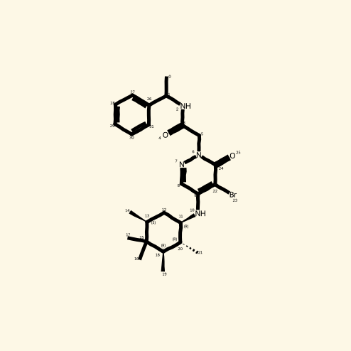 CC(NC(=O)Cn1ncc(N[C@@H]2C[C@H](C)C(C)(C)[C@H](C)[C@H]2C)c(Br)c1=O)c1ccccc1